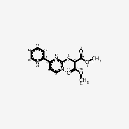 COC(=O)C(Sc1nccc(-c2ccccn2)n1)C(=O)OC